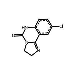 O=C1Nc2ccc(Cl)cc2C2=NCCN12